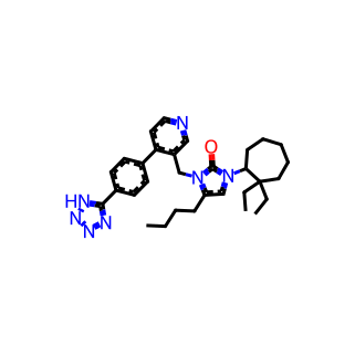 CCCCc1cn(C2CCCCCC2(CC)CC)c(=O)n1Cc1cnccc1-c1ccc(-c2nnn[nH]2)cc1